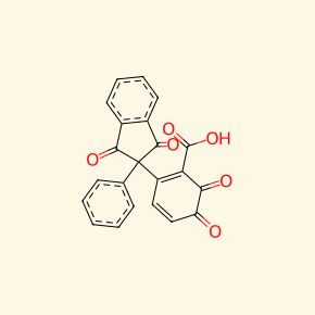 O=C(O)C1=C(C2(c3ccccc3)C(=O)c3ccccc3C2=O)C=CC(=O)C1=O